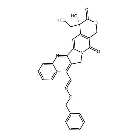 CC[C@@]1(O)C(=O)OCc2c1cc1n(c2=O)Cc2c-1nc1ccccc1c2/C=N/OCc1ccccc1